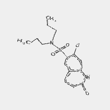 CCCN(CCC)S(=O)(=O)c1cc2c[c]c(=O)[nH]c2cc1Cl